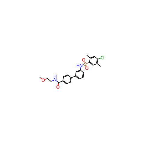 COCCNC(=O)c1ccc(-c2cccc(NS(=O)(=O)c3cc(C)c(Cl)cc3C)c2)cc1